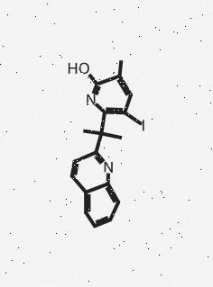 Cc1cc(I)c(C(C)(C)c2ccc3ccccc3n2)nc1O